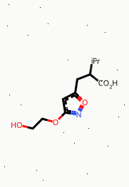 CC(C)C(Cc1cc(OCCO)no1)C(=O)O